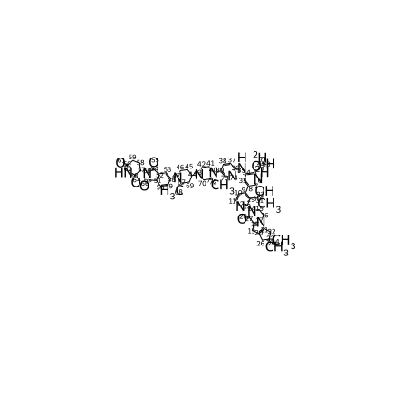 [2H]C([2H])([2H])Oc1ncc(-c2ccnc(N3CCn4c(cc5c4CC(C)(C)C5)C3=O)c2[C@H](C)O)cc1Nc1ccc(N2CCN(C3CCN(c4ccc5c(c4)C(=O)N([C@H]4CCC(=O)NC4=O)C5=O)[C@H](C)C3)C[C@@H]2C)cn1